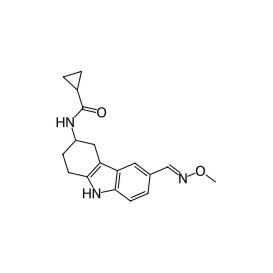 CO/N=C/c1ccc2[nH]c3c(c2c1)CC(NC(=O)C1CC1)CC3